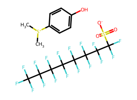 C[S+](C)c1ccc(O)cc1.O=S(=O)([O-])C(F)(F)C(F)(F)C(F)(F)C(F)(F)C(F)(F)C(F)(F)C(F)(F)C(F)(F)F